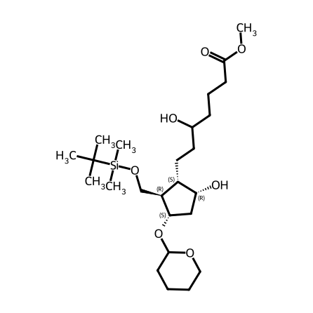 COC(=O)CCCC(O)CC[C@H]1[C@H](CO[Si](C)(C)C(C)(C)C)[C@@H](OC2CCCCO2)C[C@H]1O